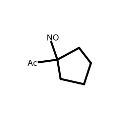 CC(=O)C1(N=O)CCCC1